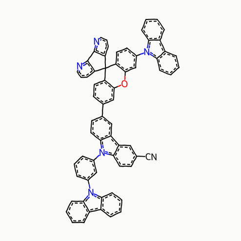 N#Cc1ccc2c(c1)c1cc(-c3ccc4c(c3)Oc3cc(-n5c6ccccc6c6ccccc65)ccc3C43c4cccnc4-c4ncccc43)ccc1n2-c1cccc(-n2c3ccccc3c3ccccc32)c1